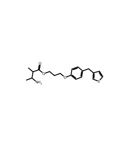 CC(N)C(C)C(=O)OCCCOc1ccc(Cc2ccsc2)cc1